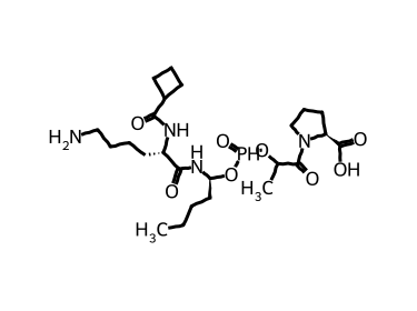 CCCC[C@@H](NC(=O)[C@H](CCCCN)NC(=O)C1CCC1)O[PH](=O)OC(C)C(=O)N1CCC[C@H]1C(=O)O